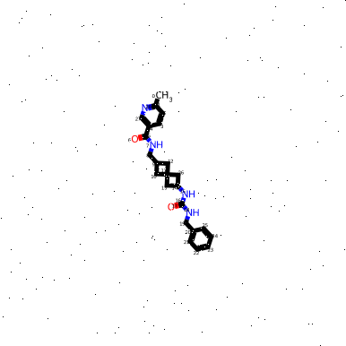 Cc1ccc(C(=O)NCC2CC3(C2)CC(NC(=O)NCc2ccccc2)C3)cn1